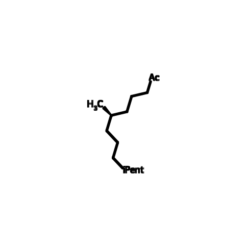 CCCC(C)CCC[C@@H](C)CCCC(C)=O